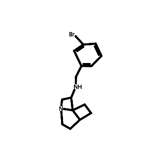 Brc1cccc(CNC2CN3CCC4CCC423)c1